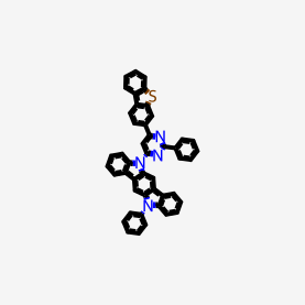 c1ccc(-c2nc(-c3ccc4c(c3)sc3ccccc34)cc(-n3c4ccccc4c4cc5c(cc43)c3ccccc3n5-c3ccccc3)n2)cc1